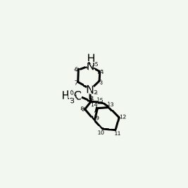 CC1(N2CCNCC2)CC2CCCC(C2)C1